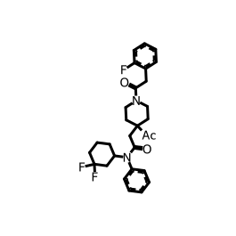 CC(=O)C1(CC(=O)N(c2ccccc2)C2CCCC(F)(F)C2)CCN(C(=O)Cc2ccccc2F)CC1